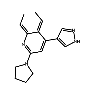 C/C=c1/c(-c2cn[nH]c2)cc(N2CCCC2)n/c1=C/C